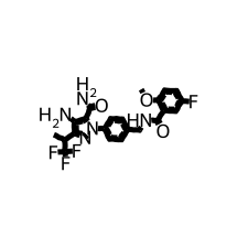 COc1ccc(F)cc1C(=O)NCc1ccc(-n2nc(C(C)C(F)(F)F)c(N)c2C(N)=O)cc1